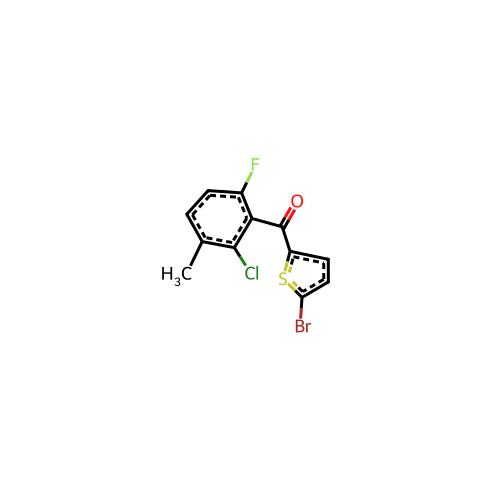 Cc1ccc(F)c(C(=O)c2ccc(Br)s2)c1Cl